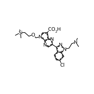 CN(C)CCn1nc(-c2cnc3c(n2)c(C(=O)O)cn3COCC[Si](C)(C)C)c2ccc(Cl)cc21